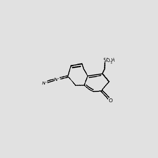 [N-]=[N+]=C1C=CC2=C(S(=O)(=O)O)CC(=O)C=C2C1